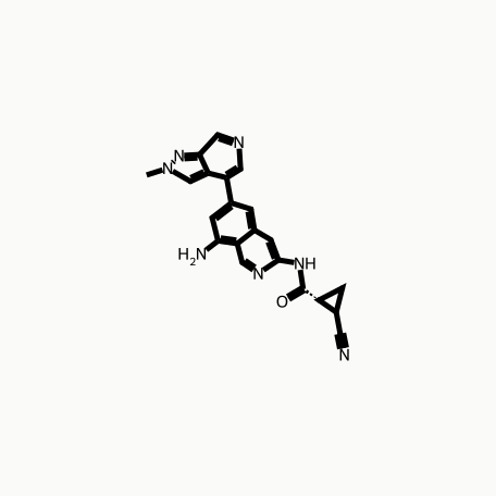 Cn1cc2c(-c3cc(N)c4cnc(NC(=O)[C@@H]5CC5C#N)cc4c3)cncc2n1